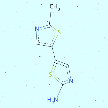 Cc1ncc(-c2cnc(N)s2)s1